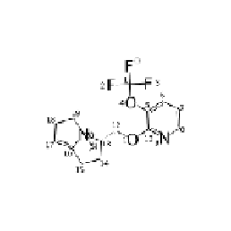 FC(F)(F)Oc1cccnc1OC[C@@H]1CCC2=CCCN21